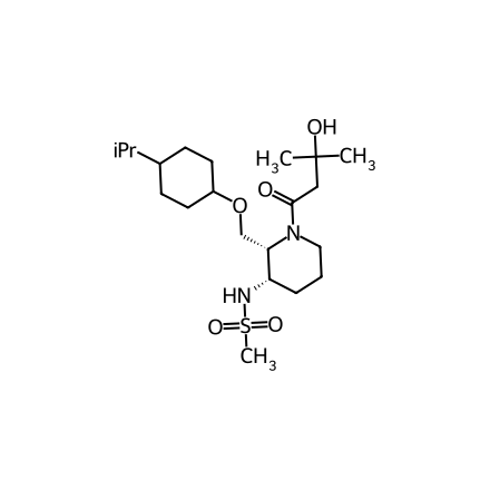 CC(C)C1CCC(OC[C@H]2[C@@H](NS(C)(=O)=O)CCCN2C(=O)CC(C)(C)O)CC1